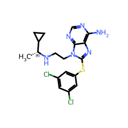 C[C@@H](NCCn1c(Sc2cc(Cl)cc(Cl)c2)nc2c(N)ncnc21)C1CC1